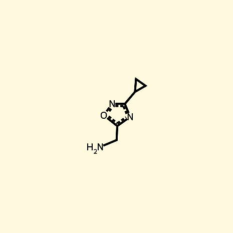 NCc1nc(C2CC2)no1